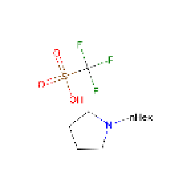 CCCCCCN1CCCC1.O=S(=O)(O)C(F)(F)F